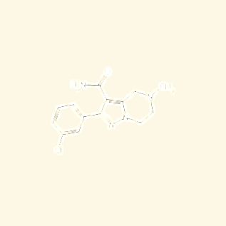 CN1CCn2nc(-c3cccc(Cl)c3)c(C(N)=O)c2C1